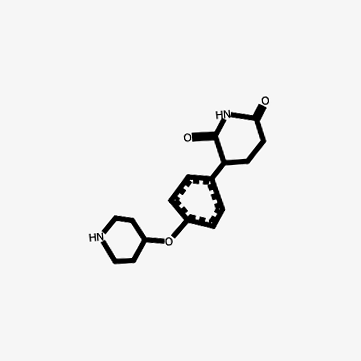 O=C1CCC(c2ccc(OC3CCNCC3)cc2)C(=O)N1